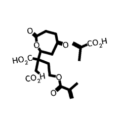 C=C(C)C(=O)O.C=C(C)C(=O)OCCC(CC(=O)O)(C(=O)O)C1CC(=O)CCC(=O)O1